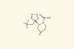 C[Si](C)(C)CC1([C@@H]2CC(=O)CCN2C(=O)O)C=NN=N1